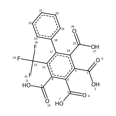 O=C(O)c1c(C(=O)O)c(C(=O)O)c(C(F)(F)F)c(-c2ccccc2)c1C(=O)O